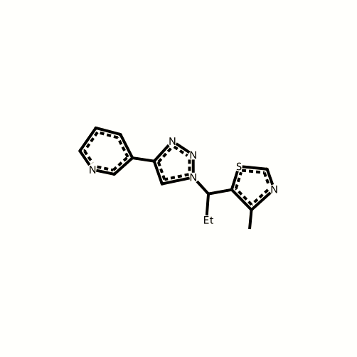 CCC(c1scnc1C)n1cc(-c2cccnc2)nn1